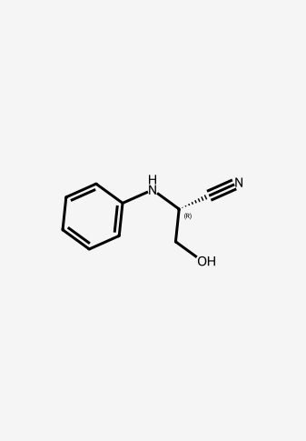 N#C[C@H](CO)Nc1ccccc1